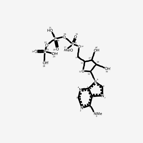 CNc1ncnc2c1ncn2C1OC(COP(=O)(OC)OP(=O)(O)OP(=O)(O)O)C(O)C1O